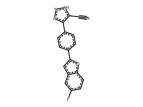 N#Cc1[nH]nnc1-c1ccc(-c2cc3cc(F)ccc3s2)cc1